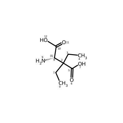 CCC(CC)(C(=O)O)[C@H](N)C(=O)O